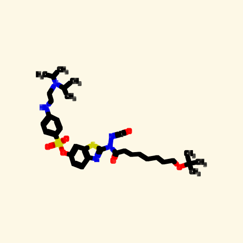 CC(C)N(CCNc1ccc(S(=O)(=O)Oc2ccc3nc(N(N=C=O)C(=O)CCCCCCCOC(C)(C)C)sc3c2)cc1)C(C)C